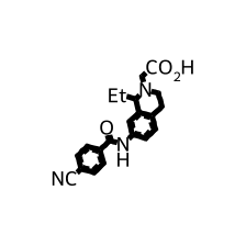 CCC1c2cc(NC(=O)c3ccc(C#N)cc3)ccc2CCN1CC(=O)O